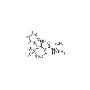 CC(C)NC(=O)C1CNCC(C)(C)c2c1[nH]c1ccccc21